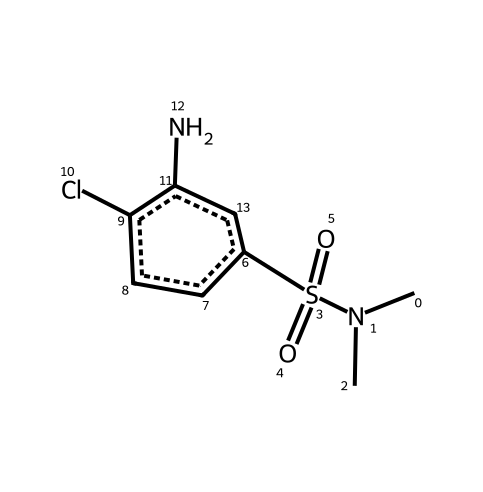 CN(C)S(=O)(=O)c1ccc(Cl)c(N)c1